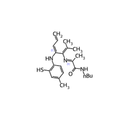 C=C/C=C(/Nc1ccc(C)cc1S)C(/N=C(\C)C(=O)NCCCC)=C(C)C